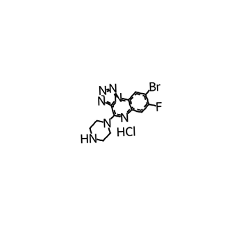 Cl.Fc1cc2nc(N3CCNCC3)c3nnnn3c2cc1Br